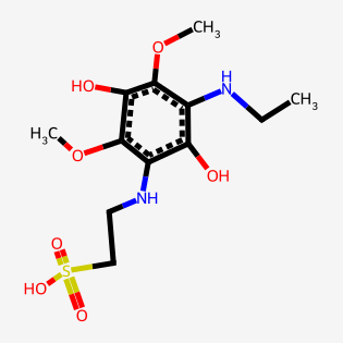 CCNc1c(O)c(NCCS(=O)(=O)O)c(OC)c(O)c1OC